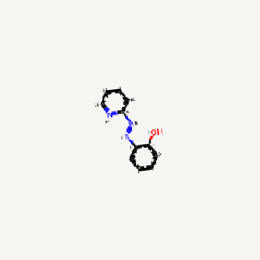 Oc1ccccc1N=Nc1ccccn1